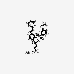 COC(=O)CCC1CN(S(=O)(=O)c2cccc(OC(F)F)c2)c2cc(C=Cc3ncccn3)ccc2O1